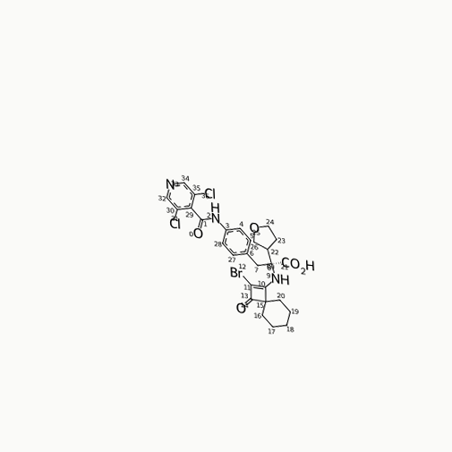 O=C(Nc1ccc(C[C@@](NC2=C(Br)C(=O)C23CCCCC3)(C(=O)O)C2CCOC2)cc1)c1c(Cl)cncc1Cl